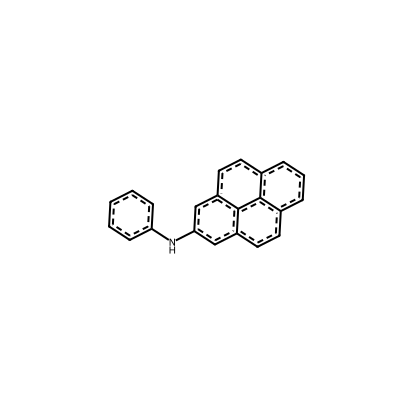 c1ccc(Nc2cc3ccc4cccc5ccc(c2)c3c45)cc1